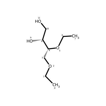 CCOC[C@@H](OCC)[C@H](O)CO